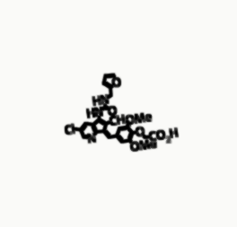 COc1cc(C=C2C(C)=C(NC(=O)NCc3ccco3)c3cc(Cl)cnc32)cc(OC)c1OCC(=O)O